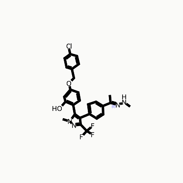 CN/N=C(\C)c1ccc(-c2c(C(F)(F)F)nn(C)c2-c2ccc(OCc3ccc(Cl)cc3)cc2O)cc1